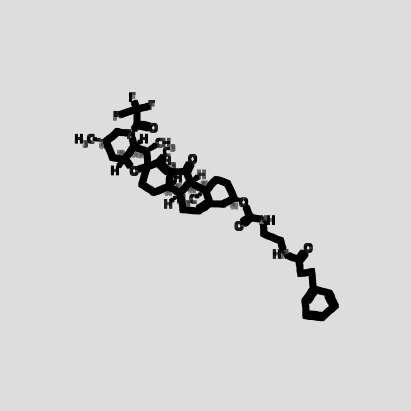 CC1=C2C(=O)[C@H]3[C@@H](CC=C4C[C@@H](OC(=O)NCCNC(=O)CCc5ccccc5)CC[C@@]43C)[C@@H]2CCC12O[C@@H]1C[C@H](C)CN(C(=O)C(F)(F)F)[C@H]1[C@H]2C